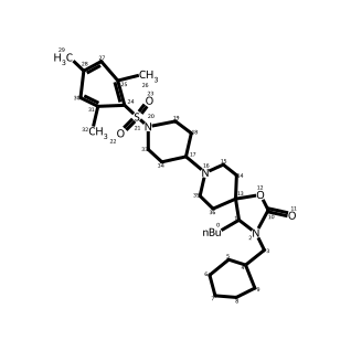 CCCCC1N(CC2CCCCC2)C(=O)OC12CCN(C1CCN(S(=O)(=O)c3c(C)cc(C)cc3C)CC1)CC2